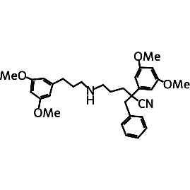 COc1cc(CCCNCCCC(C#N)(Cc2ccccc2)c2cc(OC)cc(OC)c2)cc(OC)c1